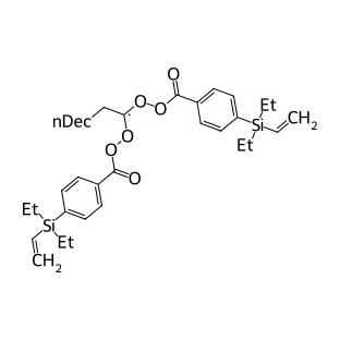 [CH2]CCCCCCCCCC[C](OOC(=O)c1ccc([Si](C=C)(CC)CC)cc1)OOC(=O)c1ccc([Si](C=C)(CC)CC)cc1